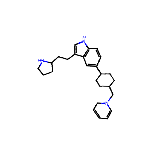 C1=CCN(CC2CCC(c3ccc4[nH]cc(CCC5CCCN5)c4c3)CC2)C=C1